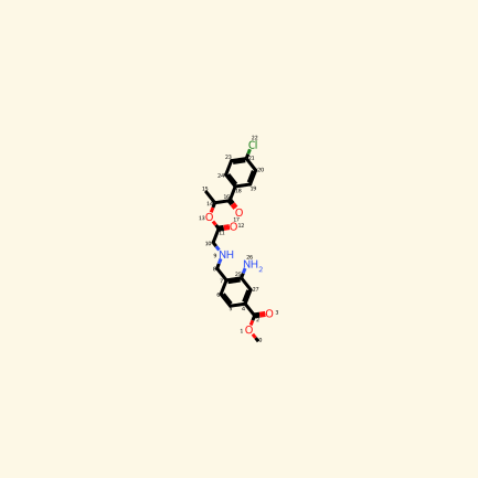 COC(=O)c1ccc(CNCC(=O)OC(C)C(=O)c2ccc(Cl)cc2)c(N)c1